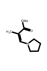 COC(=O)C(C)=CN1CCCC1